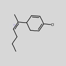 CCC/C=C(/C)C1C=CC(Cl)=CC1